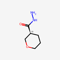 NNC(=O)[C@H]1CCCOC1